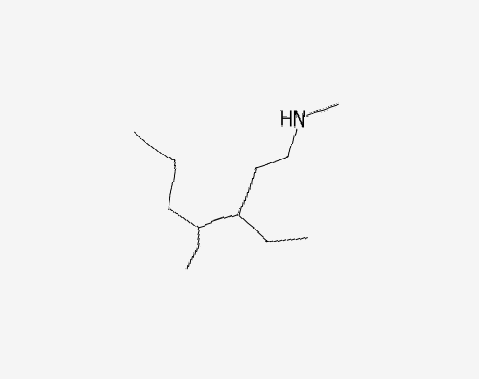 CCCC(C)C(CC)CCNC